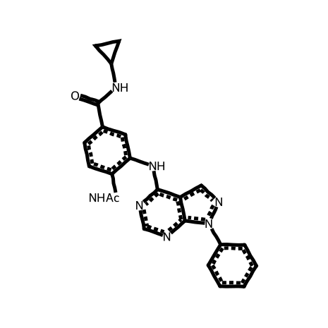 CC(=O)Nc1ccc(C(=O)NC2CC2)cc1Nc1ncnc2c1cnn2-c1ccccc1